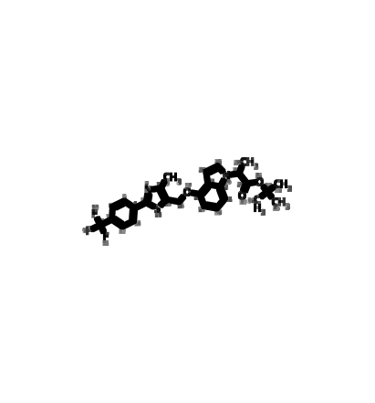 Cc1nc(-c2ccc(C(F)(F)F)cc2)sc1COc1cccc2c1ccn2C(C)C(=O)OC(C)(C)C